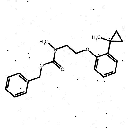 CN(CCOc1ccccc1C1(C)CC1)C(=O)OCc1ccccc1